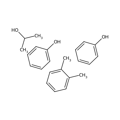 CC(C)O.Cc1ccccc1C.Oc1ccccc1.Oc1ccccc1